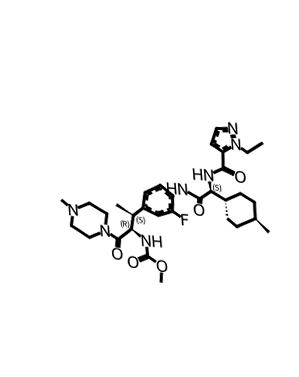 CCn1nccc1C(=O)N[C@H](C(=O)Nc1ccc([C@H](C)[C@@H](NC(=O)OC)C(=O)N2CCN(C)CC2)cc1F)[C@H]1CC[C@H](C)CC1